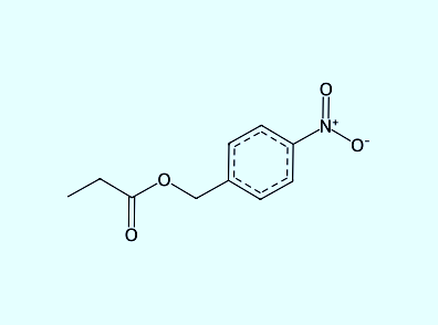 CCC(=O)OCc1ccc([N+](=O)[O-])cc1